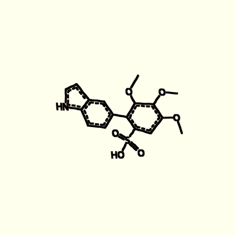 COc1cc(S(=O)(=O)O)c(-c2ccc3[nH]ccc3c2)c(OC)c1OC